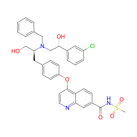 CS(=O)(=O)NC(=O)c1ccc2c(Oc3ccc(C[C@@H](CO)N(Cc4ccccc4)C[C@H](O)c4cccc(Cl)c4)cc3)ccnc2c1